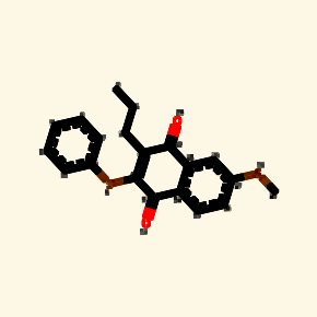 CCCC1=C(Sc2ccccc2)C(=O)c2ccc(SC)cc2C1=O